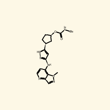 CCC(C)NC(=O)O[C@@H]1CC[C@H](c2cc(Nc3ccnc4cnn(C)c34)n[nH]2)C1